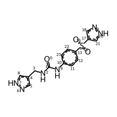 O=C(NCc1cn[nH]c1)Nc1ccc(S(=O)(=O)c2cn[nH]c2)cc1